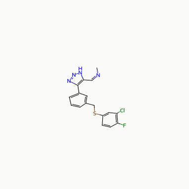 C/N=C\c1[nH]nnc1-c1cccc(CSc2ccc(F)c(Cl)c2)c1